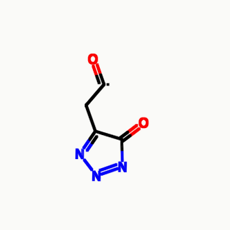 O=[C]CC1=NN=NC1=O